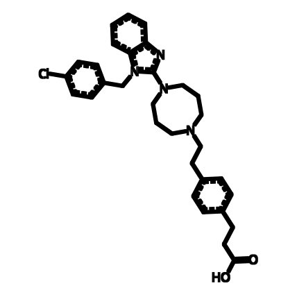 O=C(O)CCc1ccc(CCN2CCCN(c3nc4ccccc4n3Cc3ccc(Cl)cc3)CCC2)cc1